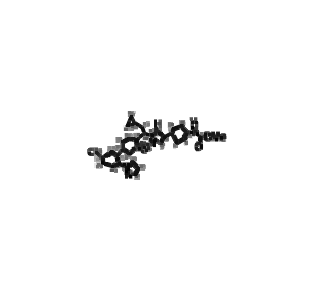 COC(=O)Nc1ccc(-c2cnc(C(CC3CC3)c3ccc(-c4cc(Cl)ccc4-n4cccn4)c[n+]3[O-])[nH]2)cc1